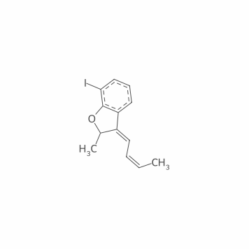 C/C=C\C=C1\c2cccc(I)c2OC1C